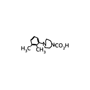 Cc1cccc(N2CCN(C(=O)O)CC2)c1C